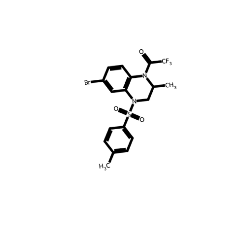 Cc1ccc(S(=O)(=O)N2CC(C)N(C(=O)C(F)(F)F)c3ccc(Br)cc32)cc1